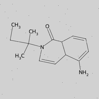 CCC(C)(C)N1C=CC2C(N)=CC=CC2C1=O